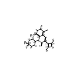 C=C/C(=C\C1=C(C)C(C)CC(CC)=C1CC1CCC(F)(F)CC1)C1=C(C)C=C1C